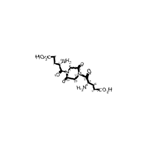 N[C@@H](CCC(=O)O)C(=O)N1CC(=O)N(C(=O)[C@@H](N)CCC(=O)O)CC1=O